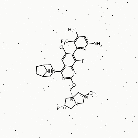 Cc1cc(N)nc(-c2c(Cl)cc3c(N4CC5CCC(C4)N5)nc(OC[C@]45C[C@@H](C)CN4C[C@H](F)C5)nc3c2F)c1C(F)(F)F